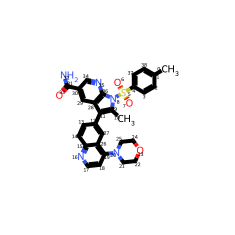 Cc1ccc(S(=O)(=O)n2c(C)c(-c3ccc4nccc(N5CCOCC5)c4c3)c3cc(C(N)=O)cnc32)cc1